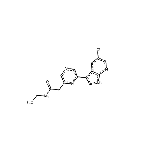 O=C(Cc1cncc(-c2c[nH]c3ncc(Cl)cc23)n1)NCC(F)(F)F